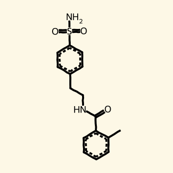 Cc1ccccc1C(=O)NCCc1ccc(S(N)(=O)=O)cc1